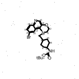 CC(C)(C)OC(=O)NC1CCC(CN2CCOc3cnc4ccc(Br)cc4c32)CC1